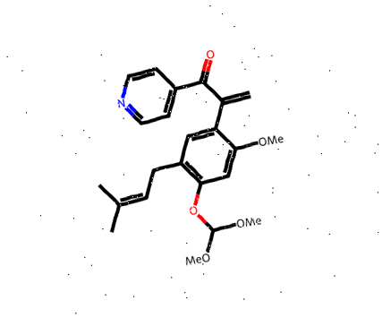 C=C(C(=O)c1ccncc1)c1cc(CC=C(C)C)c(OC(OC)OC)cc1OC